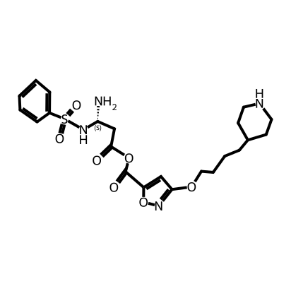 N[C@H](CC(=O)OC(=O)c1cc(OCCCCC2CCNCC2)no1)NS(=O)(=O)c1ccccc1